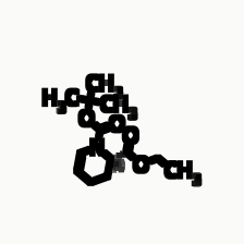 CCOC(=O)[C@@H]1CCC=CN1C(=O)OC(C)(C)C